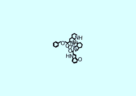 COc1cccc2[nH]c(C(=O)N3CC4CCCCC4[C@H]3C(=O)NC(CC3CCCNC3=O)C(=O)COCc3ccccc3)cc12